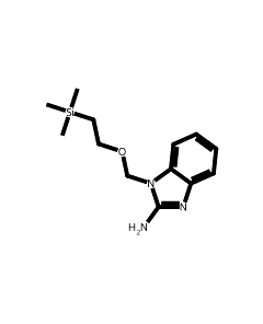 C[Si](C)(C)CCOCn1c(N)nc2ccccc21